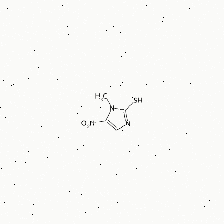 Cn1c([N+](=O)[O-])cnc1S